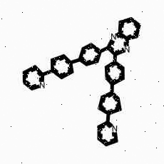 c1ccc(-c2ccc(-c3ccc(-c4nc5ccccc5nc4-c4ccc(-c5ccc(-c6ccccn6)cc5)cc4)cc3)cc2)nc1